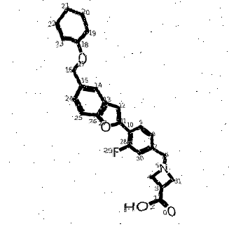 O=C(O)C1CN(Cc2ccc(-c3cc4cc(COC5CCCCC5)ccc4o3)c(F)c2)C1